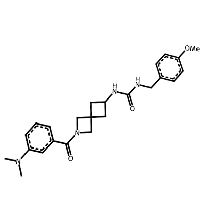 COc1ccc(CNC(=O)NC2CC3(C2)CN(C(=O)c2cccc(N(C)C)c2)C3)cc1